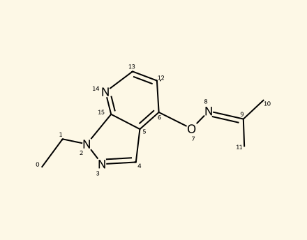 CCn1ncc2c(ON=C(C)C)[c]cnc21